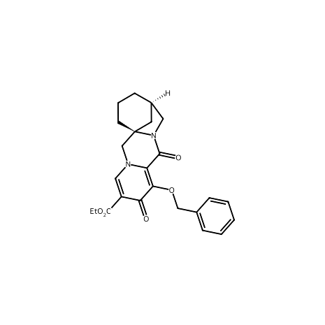 CCOC(=O)c1cn2c(c(OCc3ccccc3)c1=O)C(=O)N1C[C@@H]3CCC[C@]1(C3)C2